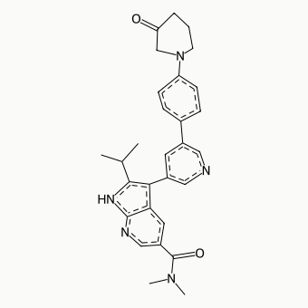 CC(C)c1[nH]c2ncc(C(=O)N(C)C)cc2c1-c1cncc(-c2ccc(N3CCCC(=O)C3)cc2)c1